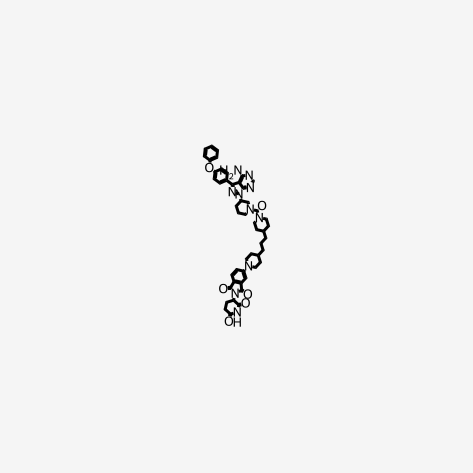 Nc1ncnc2c1c(-c1ccc(Oc3ccccc3)cc1)nn2C1CCCN(C(=O)N2CCC(CCCC3CCN(c4ccc5c(c4)C(=O)N(C4CCC(=O)NC4=O)C5=O)CC3)CC2)C1